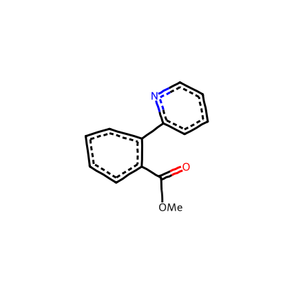 COC(=O)c1ccccc1-c1ccccn1